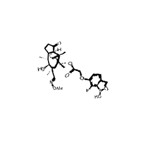 CO/N=C/[C@]1(C)C[C@@H](OC(=O)COc2ccc3c(c2F)B(O)OC3)[C@]2(C)[C@H](C)CC[C@]3(CCC(=O)[C@H]32)[C@@H](C)[C@@H]1O